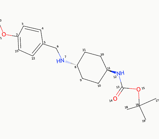 COc1ccc(CN[C@H]2CC[C@H](NC(=O)OC(C)(C)C)CC2)cc1